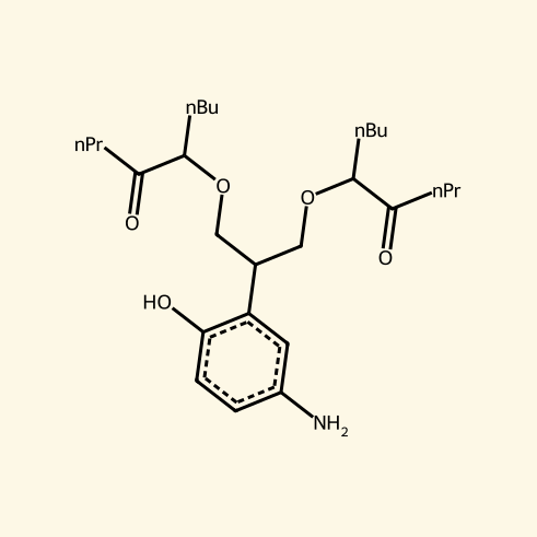 CCCCC(OCC(COC(CCCC)C(=O)CCC)c1cc(N)ccc1O)C(=O)CCC